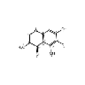 CC1COc2cc(O)c(Cl)c(O)c2C1=O